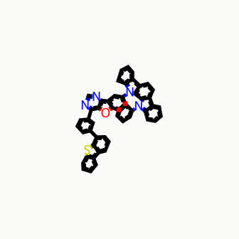 c1ccc(-n2c3ccccc3c3ccc4c5ccccc5n(-c5ccc6oc7c(-c8cccc(-c9cccc%10c9sc9ccccc9%10)c8)ncnc7c6c5)c4c32)cc1